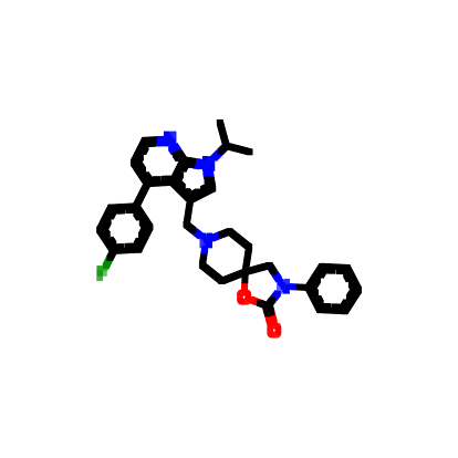 CC(C)n1cc(CN2CCC3(CC2)CN(c2ccccc2)C(=O)O3)c2c(-c3ccc(F)cc3)ccnc21